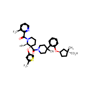 CCC[C@H]1N(C(=O)c2ncccc2C(F)(F)F)CCC[C@@]1(Oc1csc(C(F)(F)F)c1)C(=O)N1CCC(C#N)(c2ccccc2O[C@@H]2CC[C@@](C)(C(=O)O)C2)CC1